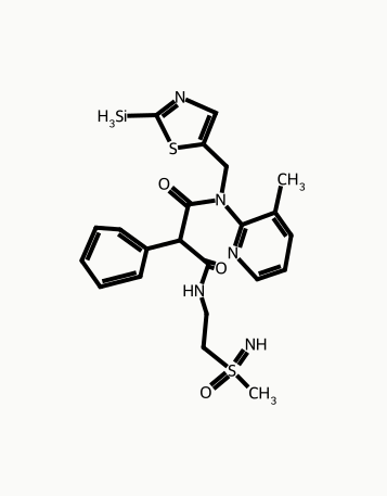 Cc1cccnc1N(Cc1cnc([SiH3])s1)C(=O)C(C(=O)NCCS(C)(=N)=O)c1ccccc1